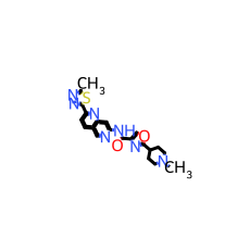 Cc1nnc(-c2ccc3cnc(NC(=O)c4coc(C5CCN(C)CC5)n4)cc3n2)s1